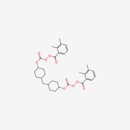 Cc1cccc(C(=O)OOC(=O)OC2CCC(CC3CCC(OC(=O)OOC(=O)c4cccc(C)c4C)CC3)CC2)c1C